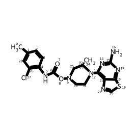 Cc1ccc(NC(=O)ON2CCN(c3nc(N)nc4scnc34)[C@@H](C)C2)c(Cl)c1